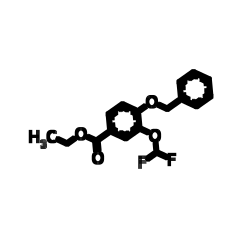 CCOC(=O)c1ccc(OCc2ccccc2)c(OC(F)F)c1